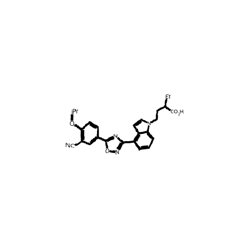 CCC(CCn1ccc2c(-c3noc(-c4ccc(OC(C)C)c(C#N)c4)n3)cccc21)C(=O)O